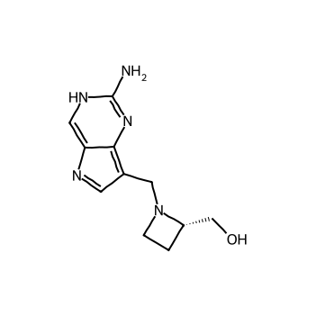 Nc1nc2c(CN3CC[C@H]3CO)cnc-2c[nH]1